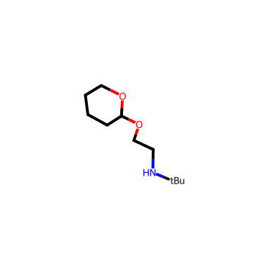 CC(C)(C)NCCOC1CCCCO1